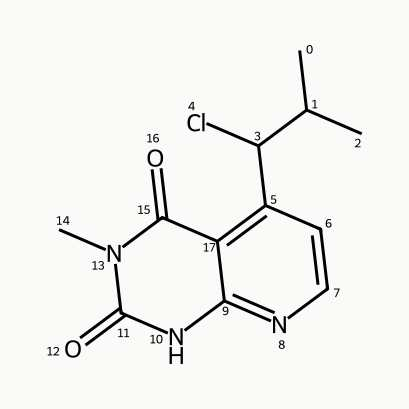 CC(C)C(Cl)c1ccnc2[nH]c(=O)n(C)c(=O)c12